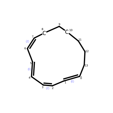 [C]1=C/C=C\C=C\C=C/CCCCCC/1